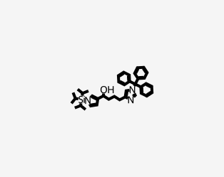 CC(C)[Si](C(C)C)(C(C)C)n1ccc(C(O)CCCc2cn(C(c3ccccc3)(c3ccccc3)c3ccccc3)cn2)c1